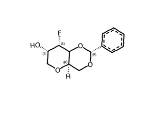 O[C@H]1CO[C@@H]2CO[C@@H](c3ccccc3)OC2[C@H]1F